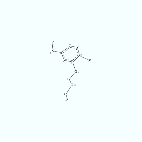 CCOCOc1cc(SC)ccc1Br